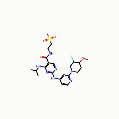 CO[C@H]1CCN(c2cc(Nc3ncc(C(=O)NCCS(C)(=O)=O)c(NC(C)C)n3)ccn2)C[C@H]1F